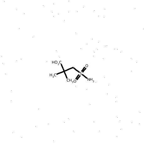 CC(C)(CS(N)(=O)=O)C(=O)O